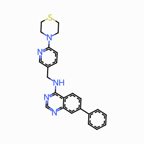 c1ccc(-c2ccc3c(NCc4ccc(N5CCSCC5)nc4)ncnc3c2)cc1